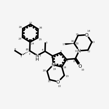 CC[C@@H](NC(C)c1cc(C(=O)N2CCOC[C@@H]2C)c2n1CCOC2)c1ccccc1